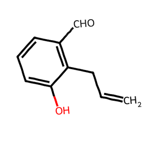 C=CCc1c(O)cccc1C=O